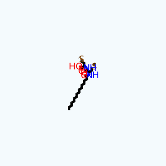 CCCCCCCCCCCCCCCC(=O)NC(CCSC)C(=O)NC(CCSC)C(=O)O